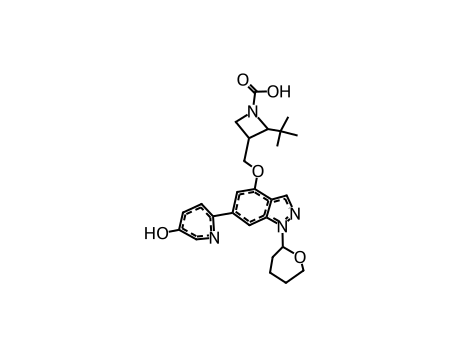 CC(C)(C)C1C(COc2cc(-c3ccc(O)cn3)cc3c2cnn3C2CCCCO2)CN1C(=O)O